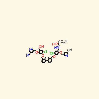 C/N=C/c1cncc(COc2cc(OCc3cccc(-c4cccc(COc5cc(OCc6cncc(C#N)c6)c(CNCC(O)C(=O)O)cc5Cl)c4C)c3C)c(Cl)cc2CO)c1